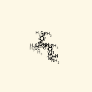 Cc1cc(Oc2ncnc(N)c2C#N)ccc1NC(=O)Nc1cc(C(C)(C)C)nn1-c1ccc(N(C)C)cc1